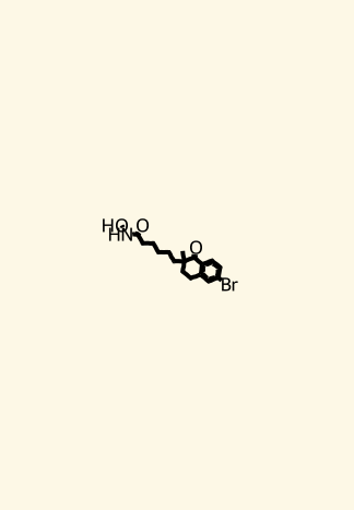 CC1(CCCCCC(=O)NO)CCc2cc(Br)ccc2C1=O